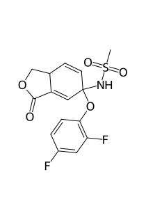 CS(=O)(=O)NC1(Oc2ccc(F)cc2F)C=CC2COC(=O)C2=C1